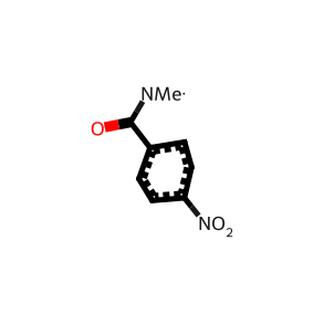 C[N]C(=O)c1ccc([N+](=O)[O-])cc1